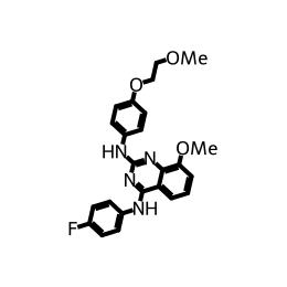 COCCOc1ccc(Nc2nc(Nc3ccc(F)cc3)c3cccc(OC)c3n2)cc1